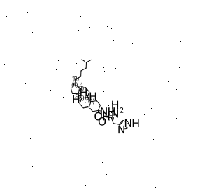 CC(C)CCC[C@@H](C)[C@H]1CC[C@H]2[C@@H]3CC=C4CC(O)(NC(=O)[C@@H](N)Cc5c[nH]cn5)CC[C@]4(C)[C@H]3CC[C@]12C